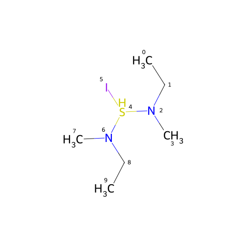 CCN(C)[SH](I)N(C)CC